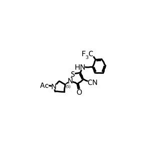 CC(=O)N1CC[C@H](n2sc(Nc3ccccc3C(F)(F)F)c(C#N)c2=O)C1